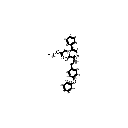 COC(=O)Cn1c(-c2ccccc2)cnc(NCc2ccc(Oc3ccccc3)cc2)c1=O